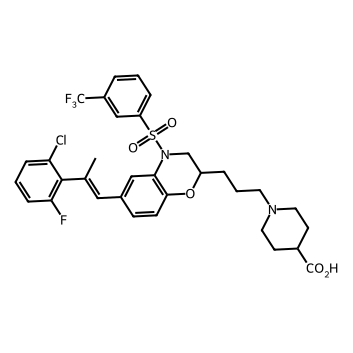 CC(=Cc1ccc2c(c1)N(S(=O)(=O)c1cccc(C(F)(F)F)c1)CC(CCCN1CCC(C(=O)O)CC1)O2)c1c(F)cccc1Cl